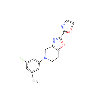 Cc1cc(F)cc(N2CCc3oc(-c4ncco4)nc3C2)c1